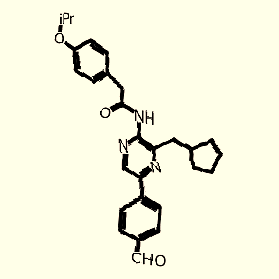 CC(C)Oc1ccc(CC(=O)Nc2ncc(-c3ccc(C=O)cc3)nc2CC2CCCC2)cc1